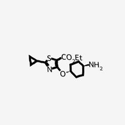 CCOC(=O)c1sc(C2CC2)nc1O[C@H]1CC[C@H](N)CC1